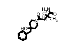 CC(C)([CH]C(=O)N1CCC(O)(Cc2ccccc2)CC1)C(N)=O